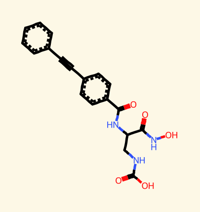 O=C(O)NCC(NC(=O)c1ccc(C#Cc2ccccc2)cc1)C(=O)NO